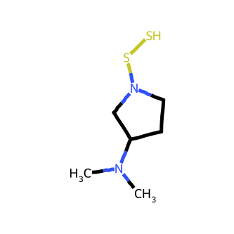 CN(C)C1CCN(SS)C1